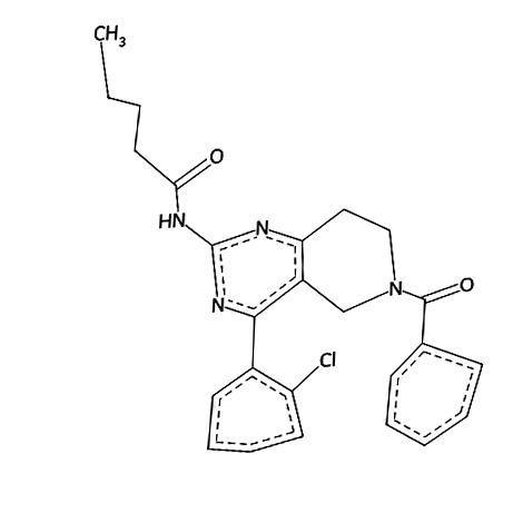 CCCCC(=O)Nc1nc2c(c(-c3ccccc3Cl)n1)CN(C(=O)c1ccccc1)CC2